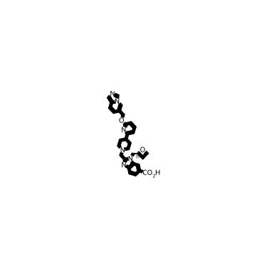 O=C(O)c1ccc2nc(CN3CCC(c4cccc(OCc5ccc6cncn6c5)n4)CC3)n(C[C@@H]3CCO3)c2c1